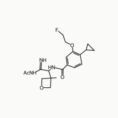 CC(=O)NC(=N)C(NC(=O)c1ccc(C2CC2)c(OCCF)c1)C1(C)COC1